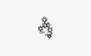 Oc1cccc(-c2nc(C3=CCOCC3)c3ncn(C4CCN(Cc5ccc[nH]5)CC4)c3n2)c1